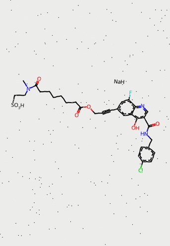 CN(CCS(=O)(=O)O)C(=O)CCCCCCC(=O)OCC#Cc1cc(F)c2ncc(C(=O)NCc3ccc(Cl)cc3)c(O)c2c1.[NaH]